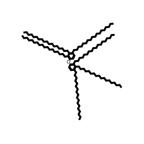 CCCCCCCCCCCCCCCCCCc1ccc(Oc2ccc(CCCCCCCCCCCCCCCCCC)c(CCCCCCCCCCCCCCCCCC)c2CCCCCCCCCCCCCCCCCC)c(CCCCCCCCCCCCCCCCCC)c1CCCCCCCCCCCCCCCCCC